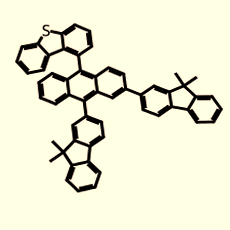 CC1(C)c2ccccc2-c2ccc(-c3ccc4c(-c5cccc6sc7ccccc7c56)c5ccccc5c(-c5ccc6c(c5)C(C)(C)c5ccccc5-6)c4c3)cc21